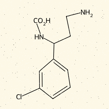 NCCC(NC(=O)O)c1cccc(Cl)c1